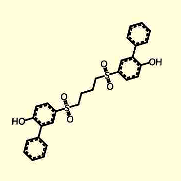 O=S(=O)(CCCCS(=O)(=O)c1ccc(O)c(-c2ccccc2)c1)c1ccc(O)c(-c2ccccc2)c1